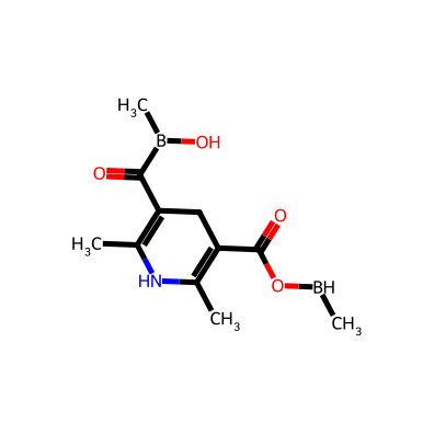 CBOC(=O)C1=C(C)NC(C)=C(C(=O)B(C)O)C1